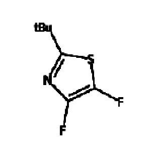 CC(C)(C)c1nc(F)c(F)s1